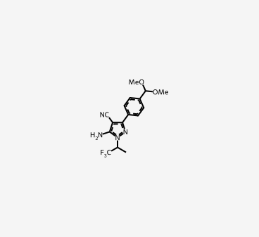 COC(OC)c1ccc(-c2nn(C(C)C(F)(F)F)c(N)c2C#N)cc1